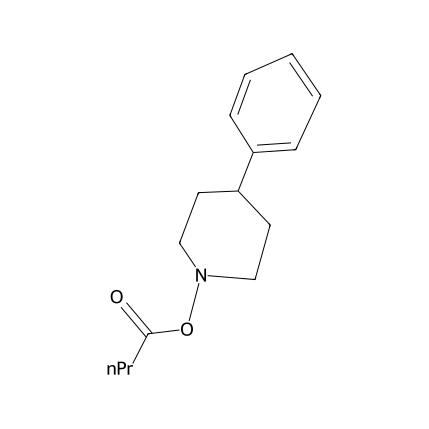 CCCC(=O)ON1CCC(c2ccccc2)CC1